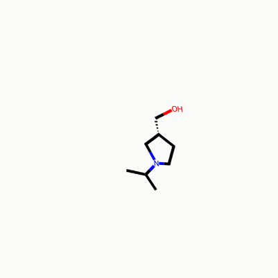 CC(C)N1CC[C@@H](CO)C1